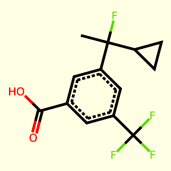 CC(F)(c1cc(C(=O)O)cc(C(F)(F)F)c1)C1CC1